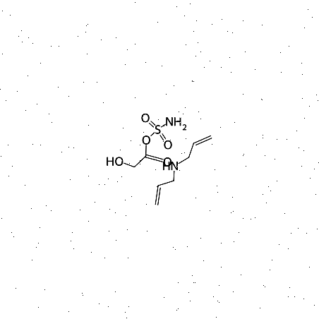 C=CCNCC=C.NS(=O)(=O)OC(=O)CO